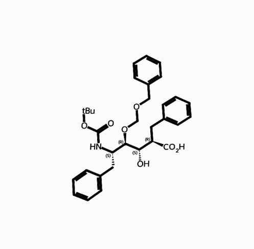 CC(C)(C)OC(=O)N[C@@H](Cc1ccccc1)[C@@H](OCOCc1ccccc1)[C@@H](O)[C@@H](Cc1ccccc1)C(=O)O